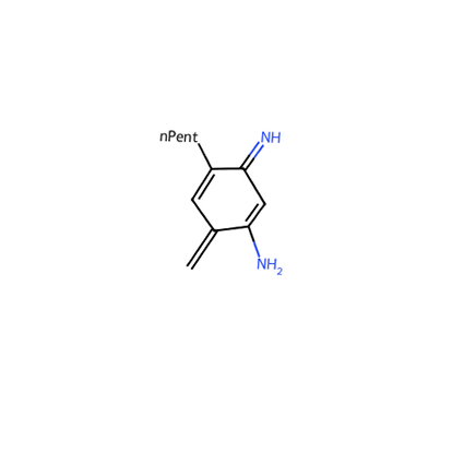 C=C1C=C(CCCCC)C(=N)C=C1N